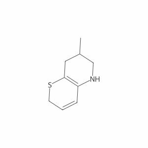 CC1CNC2=C(C1)SCC=C2